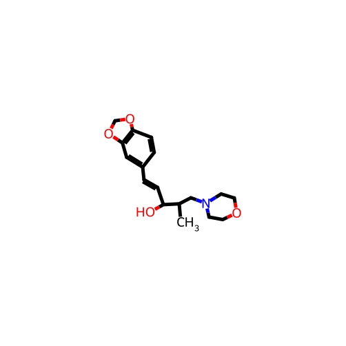 CC(CN1CCOCC1)C(O)/C=C/c1ccc2c(c1)OCO2